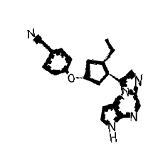 CC[C@@H]1C[C@@H](Oc2ccc(C#N)cc2)C[C@@H]1c1cnc2cnc3[nH]ccc3n12